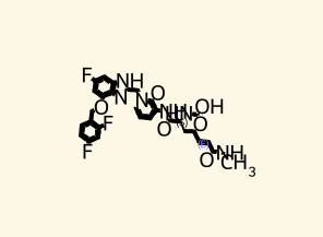 CNC(=O)/C=C/CC[C@H](NC(=O)O)C(=O)Nc1cccn(Cc2nc3c(OCc4ccc(F)cc4F)cc(F)cc3[nH]2)c1=O